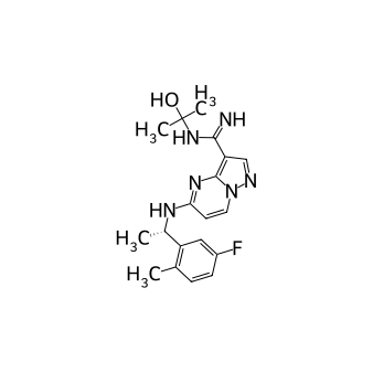 Cc1ccc(F)cc1[C@H](C)Nc1ccn2ncc(C(=N)NC(C)(C)O)c2n1